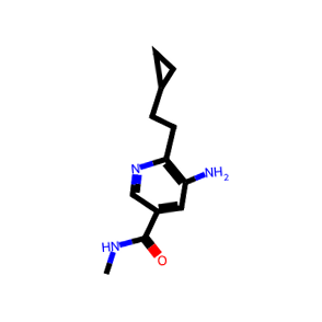 CNC(=O)c1cnc(CCC2CC2)c(N)c1